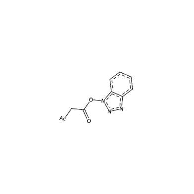 CC(=O)CC(=O)On1nnc2ccccc21